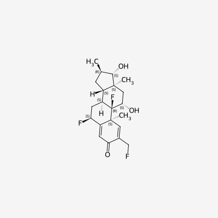 C[C@@H]1C[C@H]2[C@@H]3C[C@H](F)C4=CC(=O)C(CF)=C[C@]4(C)[C@@]3(F)[C@@H](O)C[C@]2(C)[C@H]1O